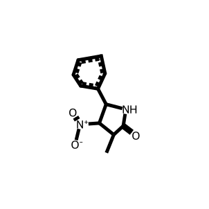 CC1C(=O)NC(c2ccccc2)C1[N+](=O)[O-]